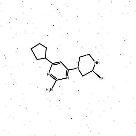 CC(C)[C@H]1CN(c2cc(C3CCCC3)nc(N)n2)CCN1